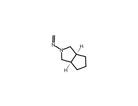 C=NN1C[C@H]2CCC[C@H]2C1